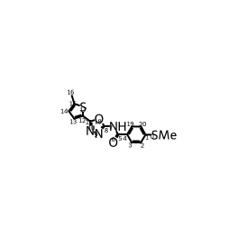 CSc1ccc(C(=O)Nc2nnc(-c3ccc(C)s3)o2)cc1